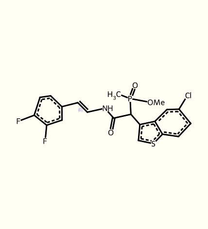 COP(C)(=O)C(C(=O)N/C=C/c1ccc(F)c(F)c1)c1csc2ccc(Cl)cc12